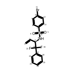 C=C[C@@H](NS(=O)(=O)c1ccc(Br)cc1)C(F)(F)c1ccccc1